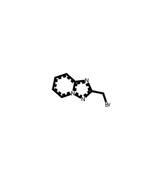 BrCc1nc2ccccn2n1